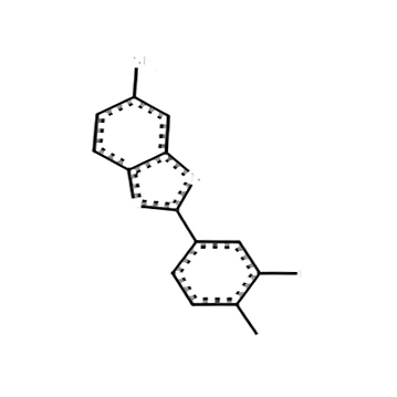 Cc1ccc(-c2nc3cc(N)ccc3s2)cc1F